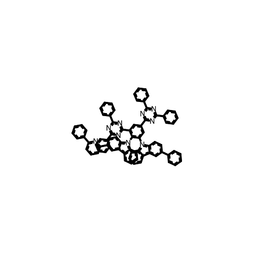 c1ccc(-c2ccc3c(c2)c2ccccc2n3-c2cc(-c3nc(-c4ccccc4)nc(-c4ccccc4)n3)cc(-c3nc(-c4ccccc4)nc(-c4ccccc4)n3)c2-n2c3ccccc3c3cc(-c4cccc(-c5ccccc5)n4)ccc32)cc1